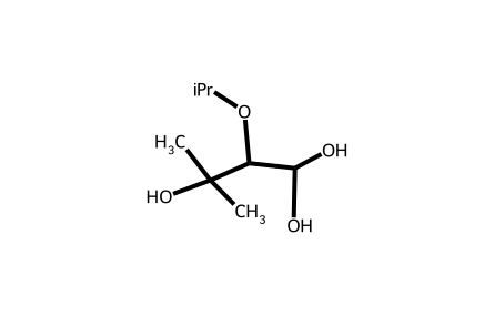 CC(C)OC(C(O)O)C(C)(C)O